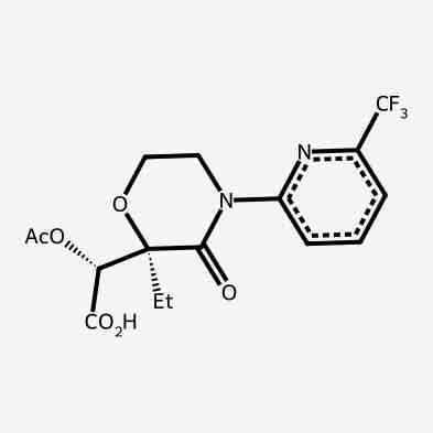 CC[C@]1([C@@H](OC(C)=O)C(=O)O)OCCN(c2cccc(C(F)(F)F)n2)C1=O